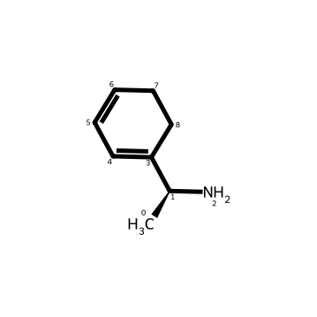 C[C@H](N)C1=CC=CCC1